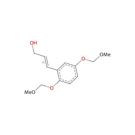 COCOc1ccc(OCOC)c(/C=C/CO)c1